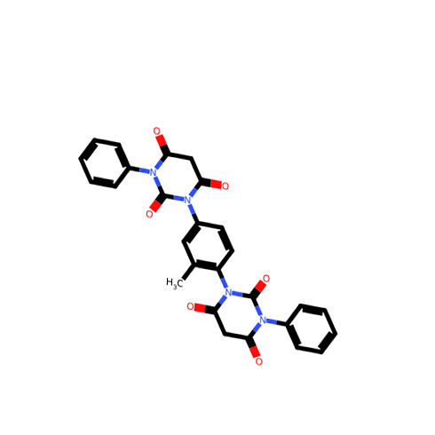 Cc1cc(N2C(=O)CC(=O)N(c3ccccc3)C2=O)ccc1N1C(=O)CC(=O)N(c2ccccc2)C1=O